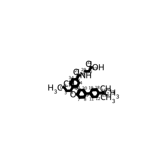 CC(C)CC(Oc1ccc(C2=CCC(C(C)(C)C)C=C2)cc1)C1=CCC(C(=O)NCCC(=O)O)C=C1